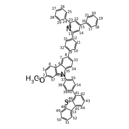 COc1ccc2c3cc(-c4ccc(-c5cc(-c6ccccc6)cc(-c6ccccc6)n5)cc4)ccc3n(-c3ccc(-c4cccc5c4sc4ccccc45)cc3)c2c1